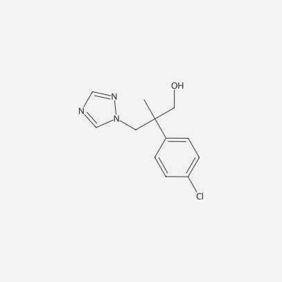 CC(CO)(Cn1cncn1)c1ccc(Cl)cc1